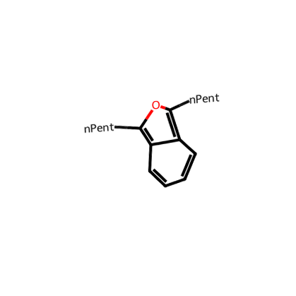 CCCCCc1oc(CCCCC)c2ccccc12